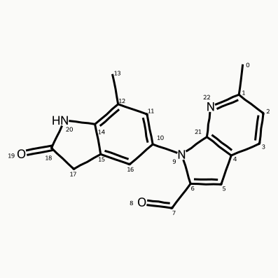 Cc1ccc2cc(C=O)n(-c3cc(C)c4c(c3)CC(=O)N4)c2n1